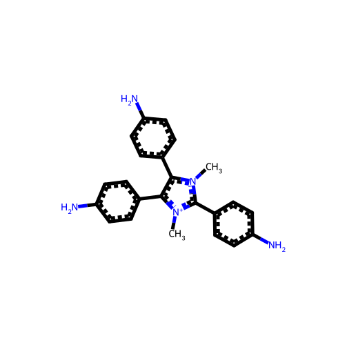 Cn1c(-c2ccc(N)cc2)c(-c2ccc(N)cc2)[n+](C)c1-c1ccc(N)cc1